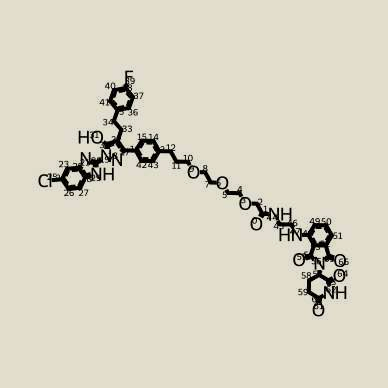 O=C(COCCOCCOCCCc1ccc(-c2nn(-c3nc4cc(Cl)ccc4[nH]3)c(O)c2CCc2ccc(F)cc2)cc1)NCCNc1cccc2c1C(=O)N(C1CCC(=O)NC1=O)C2=O